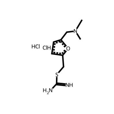 CN(C)Cc1ccc(CSC(=N)N)o1.Cl.Cl